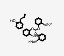 C=CCc1ccccc1O.CCCCCCCCCc1ccccc1OP(Oc1ccccc1CCCCCCCCC)Oc1ccccc1CCCCCCCCC